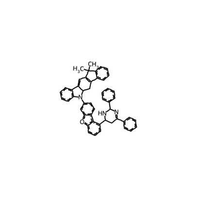 CC1(C)C2=C(CC3C(=C2)c2ccccc2N3c2ccc3c(c2)oc2cccc(C4CC(c5ccccc5)=NC(c5ccccc5)N4)c23)c2ccccc21